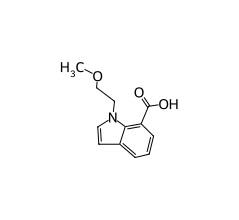 COCCn1ccc2cccc(C(=O)O)c21